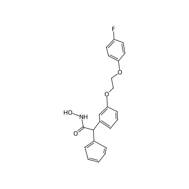 O=C(NO)C(c1ccccc1)c1cccc(OCCOc2ccc(F)cc2)c1